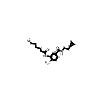 CC(=O)CCCCCC(=O)Nc1cc(C(=O)NCCC2CC2)ccc1C